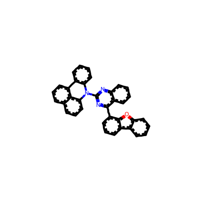 c1ccc2c(c1)-c1cccc3cccc(c13)N2c1nc(-c2cccc3c2oc2ccccc23)c2ccccc2n1